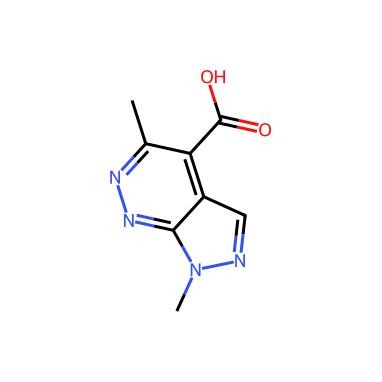 Cc1nnc2c(cnn2C)c1C(=O)O